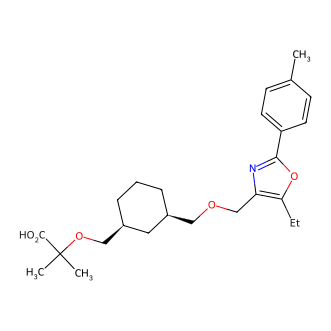 CCc1oc(-c2ccc(C)cc2)nc1COC[C@@H]1CCC[C@H](COC(C)(C)C(=O)O)C1